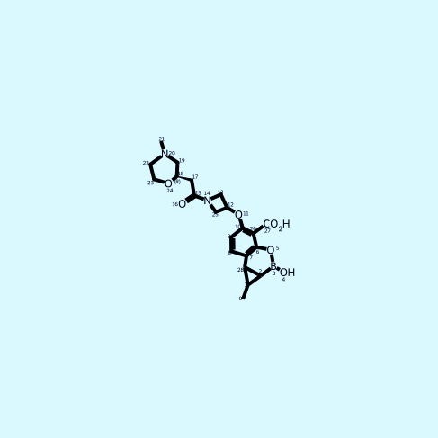 CC1C2B(O)Oc3c(ccc(OC4CN(C(=O)C[C@@H]5CN(C)CCO5)C4)c3C(=O)O)C12